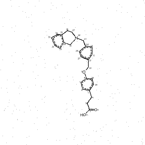 O=C(O)CCc1ccc(OCc2ccc(CN3CCc4ccccc4C3)cc2)cc1